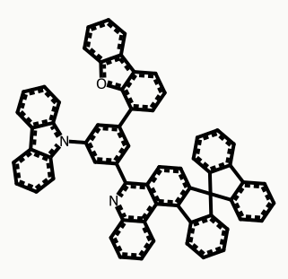 c1ccc2c(c1)-c1ccccc1C21c2ccccc2-c2c1ccc1c(-c3cc(-c4cccc5c4oc4ccccc45)cc(-n4c5ccccc5c5ccccc54)c3)nc3ccccc3c21